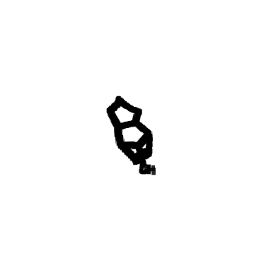 OC1C2C=CC1C1CCCC21